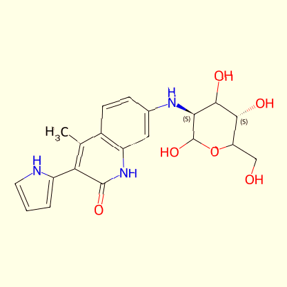 Cc1c(-c2ccc[nH]2)c(=O)[nH]c2cc(N[C@@H]3C(O)OC(CO)[C@@H](O)C3O)ccc12